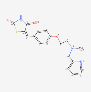 CN(CCOc1ccc(C=C2SC(=O)NC2=O)cc1)Cc1ccccn1